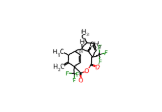 C=C1C(C)C2C=CC1(C(F)(F)F)C(=O)OC(=O)C1(C(F)(F)F)C=CC(C)[C@@H]2C1=C